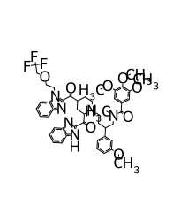 COc1cccc(C(CCN2CCC(C(=O)c3nc4ccccc4n3CCOCC(F)(F)F)CC2C(=O)c2nc3ccccc3[nH]2)CN(C)C(=O)c2cc(OC)c(OC)c(OC)c2)c1